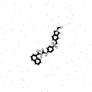 CC(NC(=O)Nc1ccc(S(=O)(=O)Cc2ccc3c(c2)CN(CCl)C3)cc1)c1cccc2ccccc12